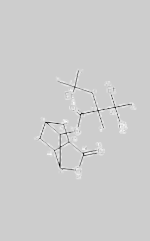 CCC(C)(C)CC(C)(C(=O)OC1C2CC3C(=O)OC1C3C2)C(C)(CC)CC